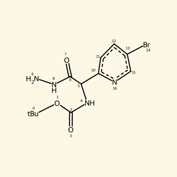 CC(C)(C)OC(=O)NC(C(=O)NN)c1ccc(Br)cn1